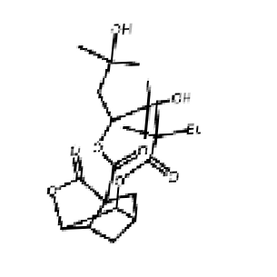 CCC(C)(C)C(=O)OC1C2CC3C1OC(=O)C3(C(=O)OC(CC(C)(C)O)C(C)(C)O)C2